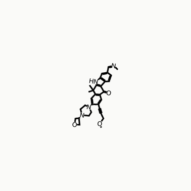 C/N=C\c1ccc2c3c([nH]c2c1)C(C)(C)c1cc(N2CCN(C4COC4)CC2)c(C#CCOC)cc1C3=O